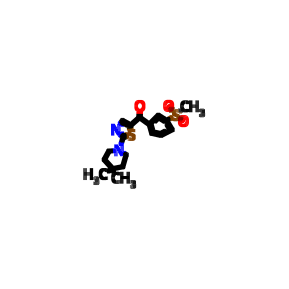 CC1(C)CCN(c2ncc(C(=O)c3cccc(S(C)(=O)=O)c3)s2)CC1